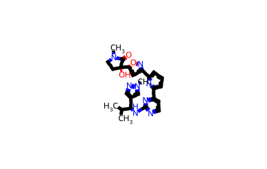 CC(C)C(Nc1nccc(-c2cccc(-c3cc([C@]4(O)CCN(C)C4=O)on3)n2)n1)c1cnn(C)c1